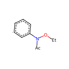 CCON(C(C)=O)c1c[c]ccc1